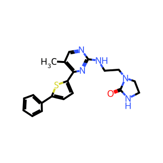 Cc1cnc(NCCN2CCNC2=O)nc1-c1ccc(-c2ccccc2)s1